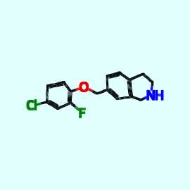 Fc1cc(Cl)ccc1OCc1ccc2c(c1)CNCC2